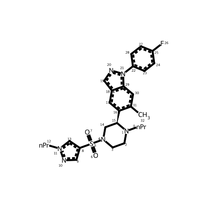 CCCN1CCN(S(=O)(=O)c2cnn(CCC)c2)C[C@H]1c1cc2cnn(-c3ccc(F)cc3)c2cc1C